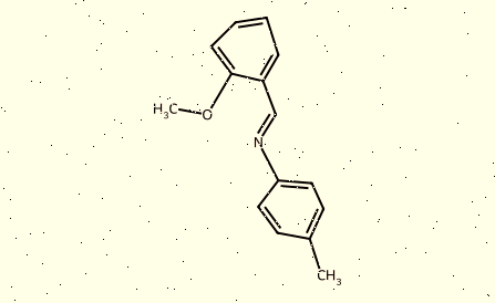 COc1ccccc1/C=N/c1ccc(C)cc1